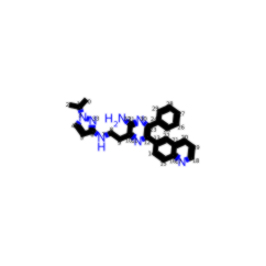 CC(C)n1ccc(NCCc2nc(-c3ccc4ncccc4c3)c(-c3ccccc3)nc2N)n1